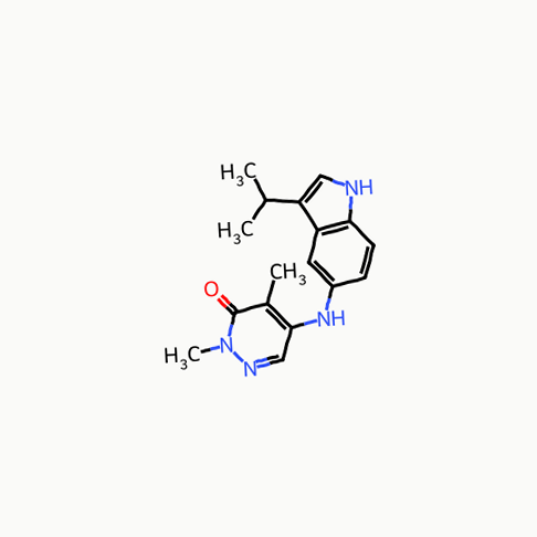 Cc1c(Nc2ccc3[nH]cc(C(C)C)c3c2)cnn(C)c1=O